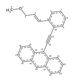 COCC=Cc1ccccc1C#Cc1c2ccccc2cc2ccccc12